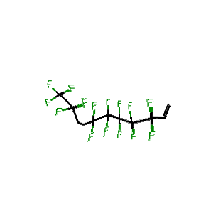 C=CC(F)(F)C(F)(F)C(F)(F)C(F)(F)C(F)(F)CC(F)(F)C(F)(F)F